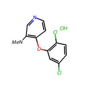 CNc1cnccc1Oc1cc(Cl)ccc1Cl.Cl